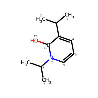 CC(C)C1=CC=CN(C(C)C)B1O